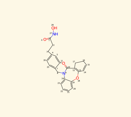 O=C(CCc1ccc(CN2C(=O)C3=C(C=CCC3)Oc3ccccc32)cc1)NO